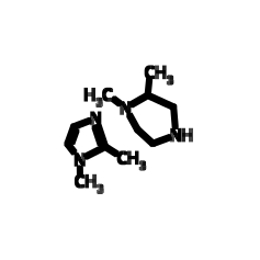 CC1CNCCN1C.Cc1nccn1C